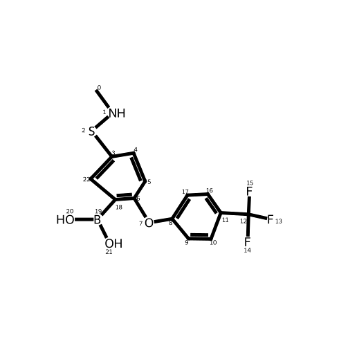 CNSc1ccc(Oc2ccc(C(F)(F)F)cc2)c(B(O)O)c1